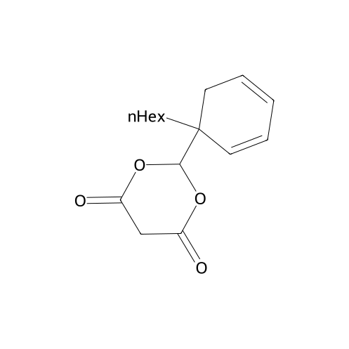 CCCCCCC1(C2OC(=O)CC(=O)O2)C=CC=CC1